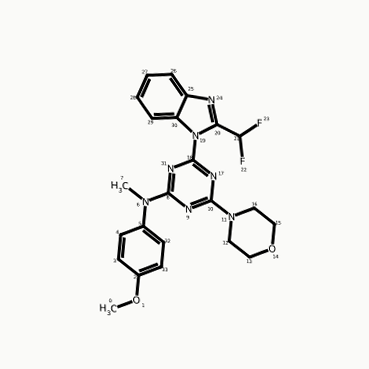 COc1ccc(N(C)c2nc(N3CCOCC3)nc(-n3c(C(F)F)nc4ccccc43)n2)cc1